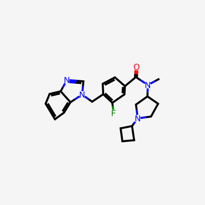 CN(C(=O)c1ccc(Cn2cnc3ccccc32)c(F)c1)C1CCN(C2CCC2)C1